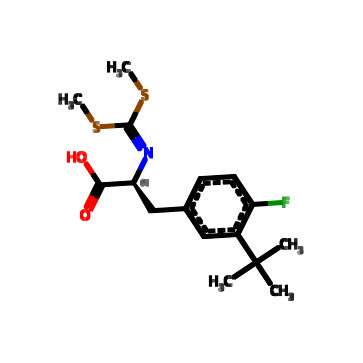 CSC(=N[C@@H](Cc1ccc(F)c(C(C)(C)C)c1)C(=O)O)SC